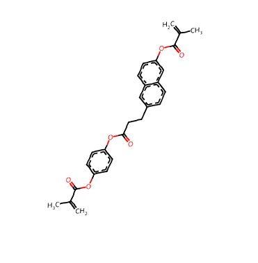 C=C(C)C(=O)Oc1ccc(OC(=O)CCc2ccc3cc(OC(=O)C(=C)C)ccc3c2)cc1